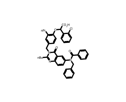 CCCCc1nc2ccc(N(Cc3ccccc3)C(=O)c3ccccc3)cc2c(=O)n1Cc1ccc(OC(C(=O)O)c2ccccc2Cl)c(CCC)c1